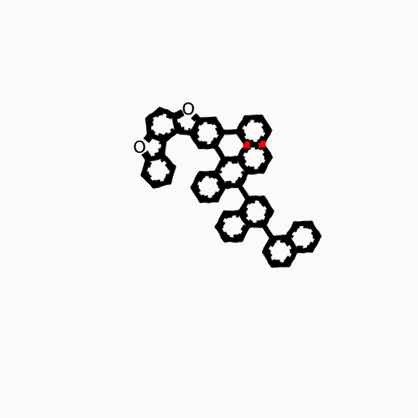 c1ccc(-c2cc3oc4ccc5oc6ccccc6c5c4c3cc2-c2c3ccccc3c(-c3ccc(-c4cccc5ccccc45)c4ccccc34)c3ccccc23)cc1